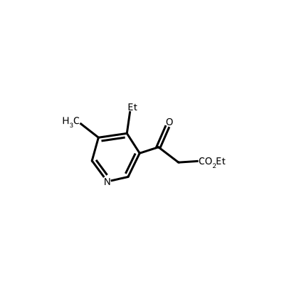 CCOC(=O)CC(=O)c1cncc(C)c1CC